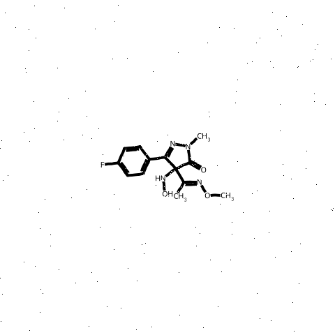 CON=C(C)C1(NO)C(=O)N(C)N=C1c1ccc(F)cc1